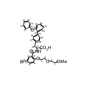 COCCOCCOc1ccc(Br)cc1C(=O)N[C@@H](Cc1ccc(-c2ccccc2Oc2ccccc2)cc1)C(=O)O